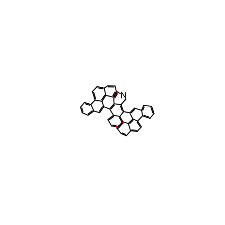 c1ccc2c(c1)cc(-c1c3ccccc3c(-c3cc4ccccc4c4ccc5ccccc5c34)c3cnccc13)c1c3ccccc3ccc21